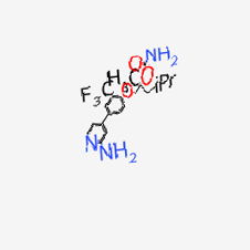 CC(C)CC(C)(COc1ccc(-c2ccnc(N)c2)cc1C(F)(F)F)OC(N)=O